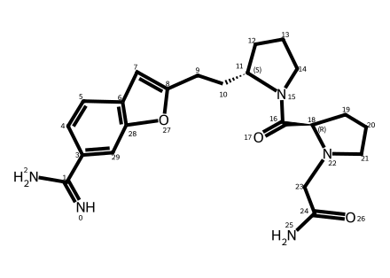 N=C(N)c1ccc2cc(CC[C@@H]3CCCN3C(=O)[C@H]3CCCN3CC(N)=O)oc2c1